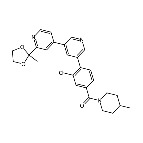 CC1CCN(C(=O)c2ccc(-c3cncc(-c4ccnc(C5(C)OCCO5)c4)c3)c(Cl)c2)CC1